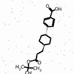 CC(C)(C)OC(=O)CC[C@H]1CC[C@H](c2ccc(C(=O)O)cc2)CC1